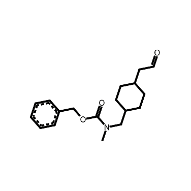 CN(CC1CCC(CC=O)CC1)C(=O)OCc1ccccc1